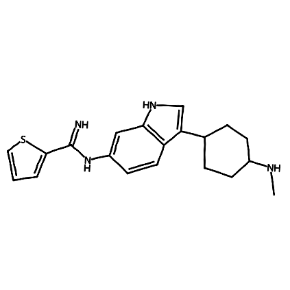 CNC1CCC(c2c[nH]c3cc(NC(=N)c4cccs4)ccc23)CC1